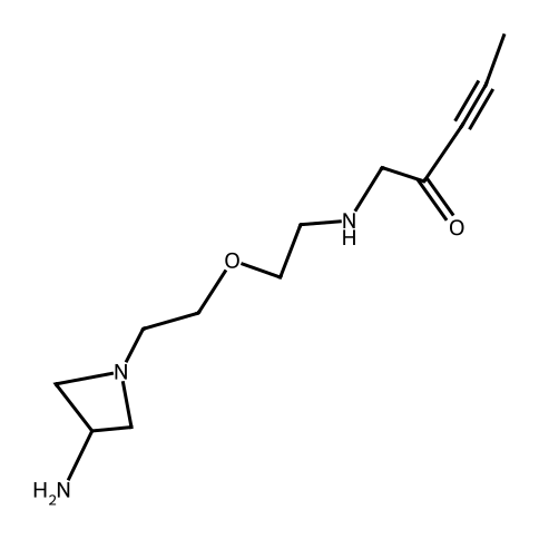 CC#CC(=O)CNCCOCCN1CC(N)C1